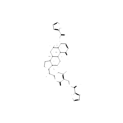 CC1=C(COC(=O)c2ccco2)C(=O)O[C@@H]([C@@H](C)[C@H]2CC[C@H]3[C@@H]4C[C@H]5O[C@]56[C@@H](OC(=O)c5ccco5)C=CC(=O)[C@]6(C)[C@H]4CC[C@]23C)C1